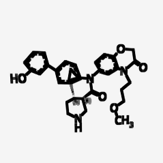 COCCCN1C(=O)COc2ccc(N(C(=O)[C@H]3CNCC[C@@H]3c3cccc(-c4cccc(O)c4)c3)C3CC3)cc21